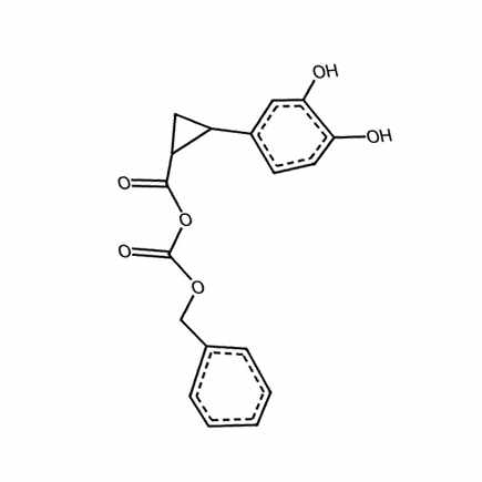 O=C(OCc1ccccc1)OC(=O)C1CC1c1ccc(O)c(O)c1